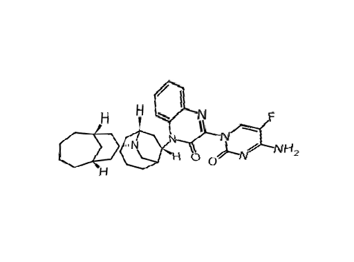 Nc1nc(=O)n(-c2nc3ccccc3n([C@H]3C[C@H]4CCCCC3CN4[C@@H]3C[C@@H]4CCCC[C@@H](C4)C3)c2=O)cc1F